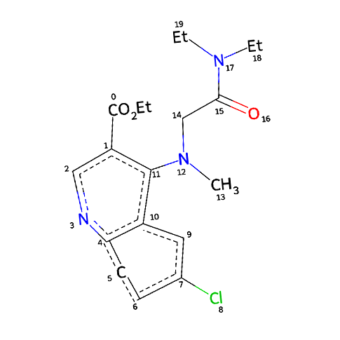 CCOC(=O)c1cnc2ccc(Cl)cc2c1N(C)CC(=O)N(CC)CC